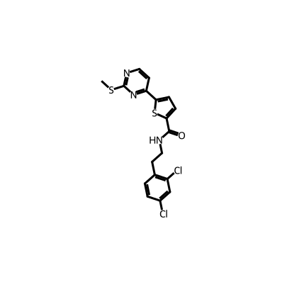 CSc1nccc(-c2ccc(C(=O)NCCc3ccc(Cl)cc3Cl)s2)n1